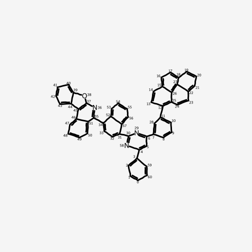 c1ccc(-c2cc(-c3cccc(-c4ccc5ccc6cccc7ccc4c5c67)c3)nc(-c3ccc(-c4nc5oc6ccccc6c5c5ccccc45)c4ccccc34)n2)cc1